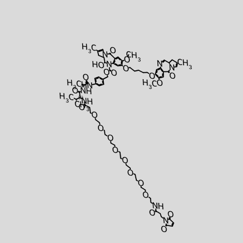 COc1cc2c(cc1OCCCCCOc1cc3c(cc1OC)C(=O)N1C=C(C)CC1C(O)N3C(=O)OCc1ccc(NC(=O)C(C)NC(=O)[C@@H](NC(=O)CCOCCOCCOCCOCCOCCOCCOCCOCCNC(=O)CCN3C(=O)C=CC3=O)C(C)C)cc1)N=CC1CC(C)=CN1C2=O